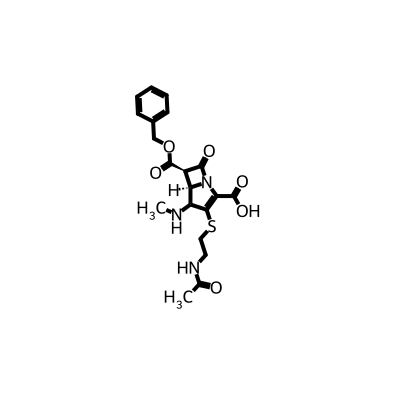 CNC1C(SCCNC(C)=O)=C(C(=O)O)N2C(=O)[C@H](C(=O)OCc3ccccc3)[C@H]12